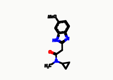 COc1ccc2nc(CC(=O)N(C)C3CC3)[nH]c2c1